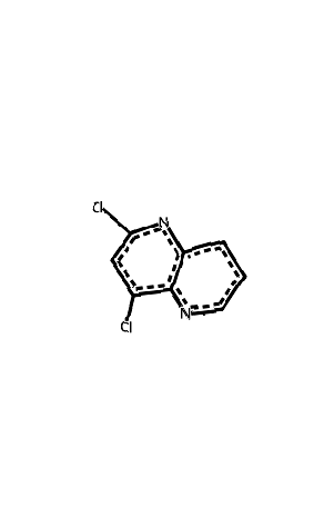 Clc1cc(Cl)c2ncccc2n1